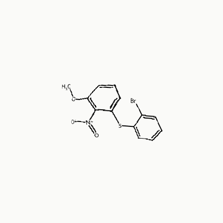 COc1cccc(Sc2ccccc2Br)c1[N+](=O)[O-]